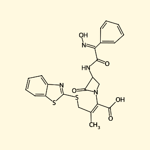 CC(CSc1nc2ccccc2s1)=C(C(=O)O)N1CC(NC(=O)C(=NO)c2ccccc2)C1=O